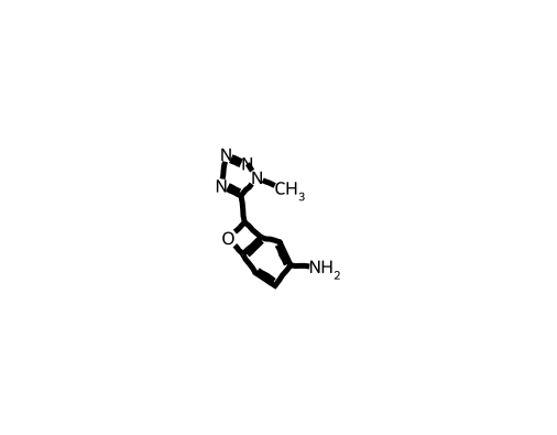 Cn1nnnc1C1Oc2ccc(N)cc21